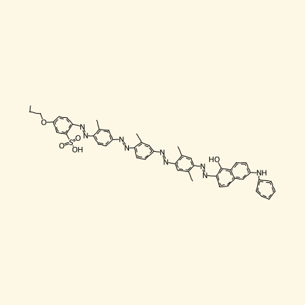 CCCOc1ccc(N=Nc2ccc(N=Nc3ccc(N=Nc4cc(C)c(N=Nc5ccc6cc(Nc7ccccc7)ccc6c5O)cc4C)cc3C)cc2C)c(S(=O)(=O)O)c1